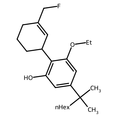 CCCCCCC(C)(C)c1cc(O)c(C2C=C(CF)CCC2)c(OCC)c1